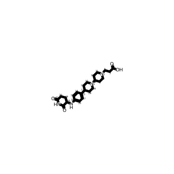 O=C(O)CCN1CCC(N2CCC(c3ccc(NC4CCC(=O)NC4=O)cc3)CC2)CC1